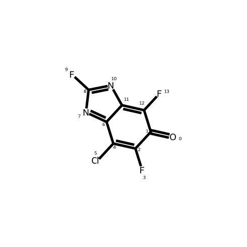 O=C1C(F)=C(Cl)C2=NC(F)=NC2=C1F